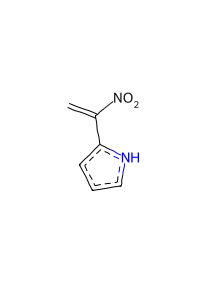 C=C(c1ccc[nH]1)[N+](=O)[O-]